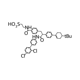 CC(C)(C)C1CC=C(c2ccc(C(Cc3ccc(C(=O)NCCS(=O)(=O)O)cc3)C(=O)Nc3ccc(-c4ccc(Cl)cc4Cl)cc3)cc2)CC1